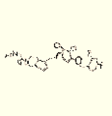 CNCC(=O)N1CCc2c(cccc2Cn2ccc(OCc3ccc(F)cc3F)c(Cl)c2=O)C1